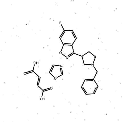 Fc1ccc2c(C3CCN(Cc4ccccc4)C3)noc2c1.O=C(O)/C=C/C(=O)O.c1cocn1